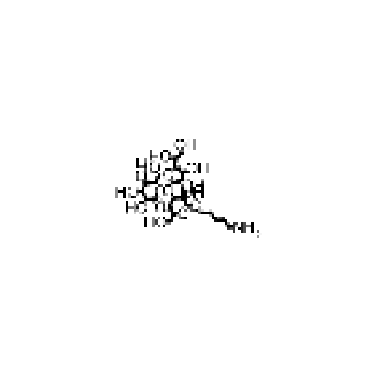 NCCCCCO[C@H]1OC(CO)[C@H](O[C@H]2OC(CO)[C@H](O)C(O)C2O)C(O[C@@H]2O[C@@H]([C@H](O)CO)C(O)C2O)C1O